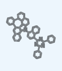 c1ccc(-c2nc(-c3ccccc3)nc(-c3ccc(-n4c5ccc6cccc7c6c5c5c(cc6ccccc6c54)-c4ccccc4-7)c4ccccc34)n2)cc1